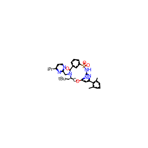 Cc1cccc(C)c1-c1cc2nc(n1)NS(=O)(=O)c1cccc(c1)C(=O)N(Cc1nccc(C(C)C)n1)[C@H](CC(C)(C)C)CO2